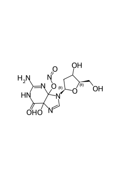 NC1=NC2(ON=O)N([C@H]3CC(O)[C@@H](CO)O3)C=NC2(O)C(=O)N1